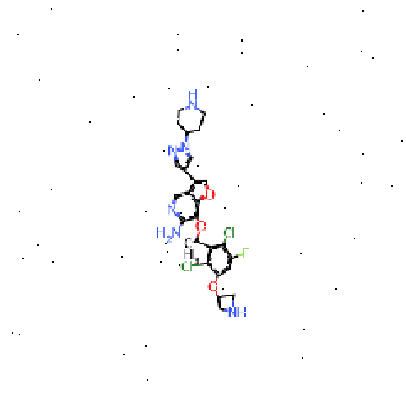 CC(Oc1c(N)ncc2c(-c3cnn(C4CCNCC4)c3)coc12)c1c(Cl)c(F)cc(OC2CNC2)c1Cl